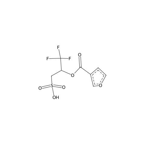 O=C(OC(CS(=O)(=O)O)C(F)(F)F)c1ccoc1